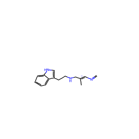 C=N/C=C(\C)CNCCc1c[nH]c2ccccc12